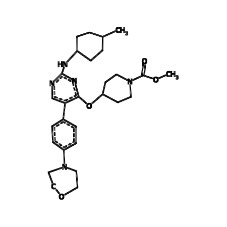 COC(=O)N1CCC(Oc2nc(NC3CCC(C)CC3)ncc2-c2ccc(N3CCOCC3)cc2)CC1